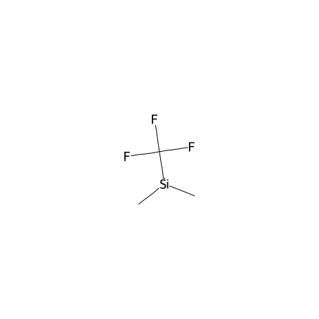 C[Si](C)C(F)(F)F